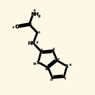 NC(=O)CNc1cc2sccc2s1